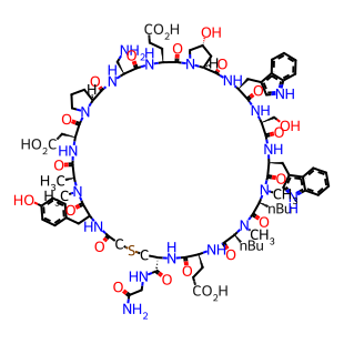 CCCC[C@H]1C(=O)N(C)[C@@H](CCCC)C(=O)N[C@@H](CCC(=O)O)C(=O)N[C@H](C(=O)NCC(N)=O)CSCC(=O)NC(Cc2ccc(O)cc2)C(=O)N(C)[C@@H](C)C(=O)N[C@@H](CC(=O)O)C(=O)N2CCC[C@H]2C(=O)N[C@@H](CN)C(=O)N[C@@H](CCC(=O)O)C(=O)N2C[C@H](O)C[C@H]2C(=O)N[C@@H](Cc2c[nH]c3ccccc23)C(=O)N[C@@H](CO)C(=O)N[C@@H](Cc2c[nH]c3ccccc23)C(=O)N1C